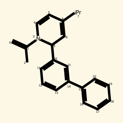 C=C(C)N1C=CC(C(C)C)=CC1c1cccc(-c2ccccc2)c1